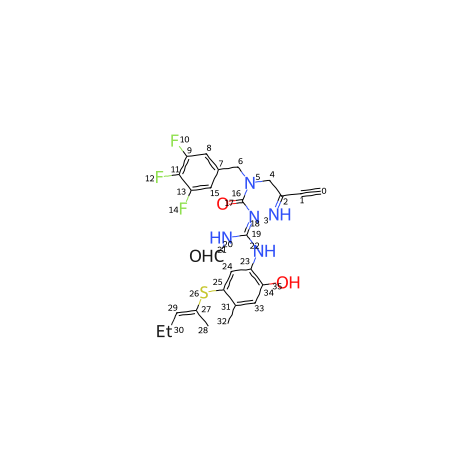 C#CC(=N)CN(Cc1cc(F)c(F)c(F)c1)C(=O)/N=C(\NC=O)Nc1cc(S/C(C)=C/CC)c(C)cc1O